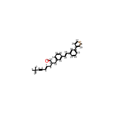 CC(C)(C)C#CC=CCC(C=O)Cc1cccc(/C=C/c2cccc(-c3ccsc3)c2)c1